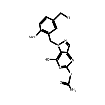 COc1ccc(CCl)cc1Cn1ncc2nc(OC(N)=O)nc(O)c21